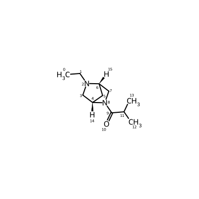 CCN1C[C@@H]2C[C@H]1CN2C(=O)C(C)C